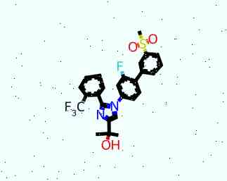 CC(C)(O)c1cn(-c2ccc(-c3cccc(S(C)(=O)=O)c3)c(F)c2)c(-c2ccccc2C(F)(F)F)n1